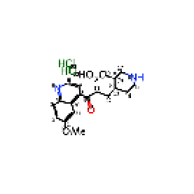 COc1ccc2nccc(C(=O)CC[C@@H]3CCNC[C@@H]3C(=O)O)c2c1.Cl.Cl